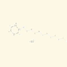 Br.CCCCCCCCCCCCc1ccccn1